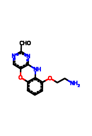 NCCOc1cccc2c1Nc1nc(C=O)ncc1O2